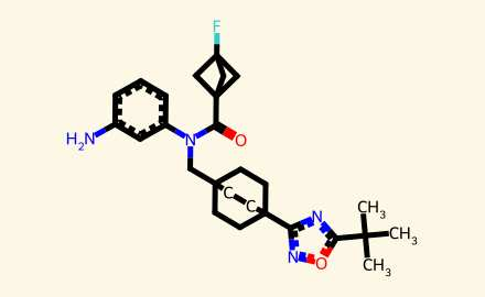 CC(C)(C)c1nc(C23CCC(CN(C(=O)C45CC(F)(C4)C5)c4cccc(N)c4)(CC2)CC3)no1